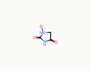 O=C1C[NH+]([O-])C(=O)N1